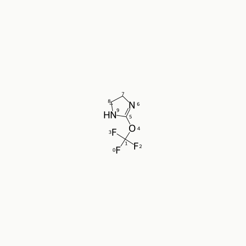 FC(F)(F)OC1=NC[C]N1